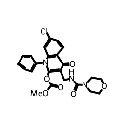 COC(=O)Oc1c(CNC(=O)N2CCOCC2)c(=O)c2ccc(Cl)cc2n1-c1ccccc1